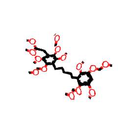 COCOc1cc(OC)c(OCOC)c(CCCCCc2c(OC)c(OCOC)c(CC(OC)OC)c(OC)c2OCOC)c1OC